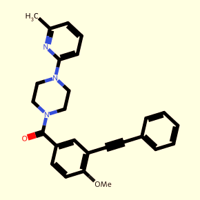 COc1ccc(C(=O)N2CCN(c3cccc(C)n3)CC2)cc1C#Cc1ccccc1